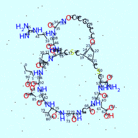 CCCC[C@@H]1NC(=O)[C@@H]2CCCN2C(=O)[C@@H]2CSCc3cc(cc(c3)OCCCCCCO/N=C/C(=O)N[C@@H](CCCNC(=N)N)C(=O)N2)CSC[C@@H](C(N)=O)NC(=O)[C@H](CCC(=O)O)NC(=O)CNC(=O)[C@H](C)NC(=O)C(C(C)C)NC(=O)[C@H](CC(=O)OOC)NC1=O